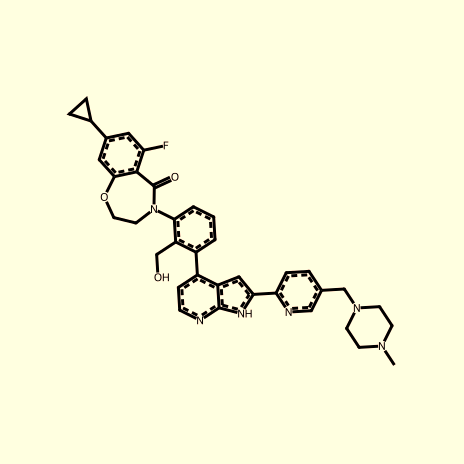 CN1CCN(Cc2ccc(-c3cc4c(-c5cccc(N6CCOc7cc(C8CC8)cc(F)c7C6=O)c5CO)ccnc4[nH]3)nc2)CC1